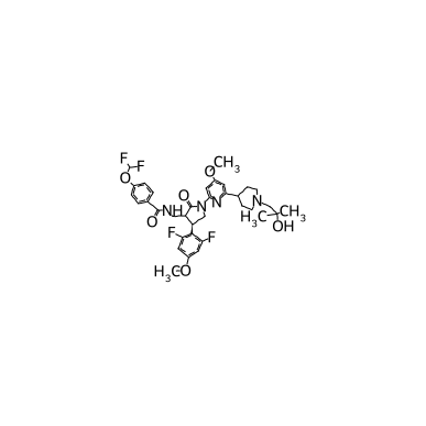 COc1cc(C2CCN(CC(C)(C)O)CC2)nc(N2C[C@@H](c3c(F)cc(OC)cc3F)C(CNC(=O)c3ccc(OC(F)F)cc3)C2=O)c1